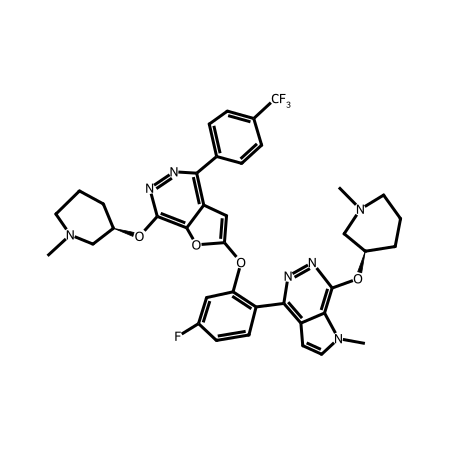 CN1CCC[C@@H](Oc2nnc(-c3ccc(C(F)(F)F)cc3)c3cc(Oc4cc(F)ccc4-c4nnc(O[C@@H]5CCCN(C)C5)c5c4ccn5C)oc23)C1